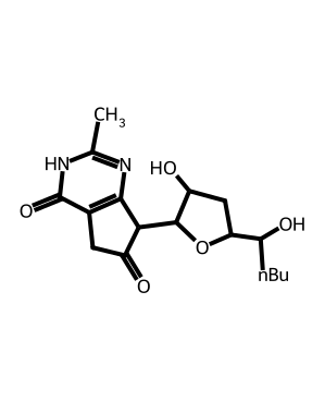 CCCCC(O)C1CC(O)C(C2C(=O)Cc3c2nc(C)[nH]c3=O)O1